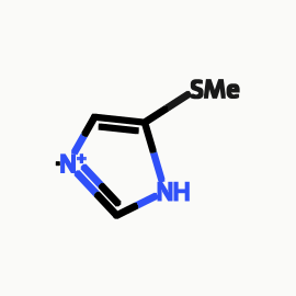 CSC1=C[N+]=CN1